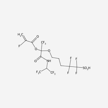 C=C(F)C(=O)OC(OCCCC(F)(F)C(F)(F)S(=O)(=O)O)(C(=O)NC(C(F)(F)F)C(F)(F)F)C(F)(F)F